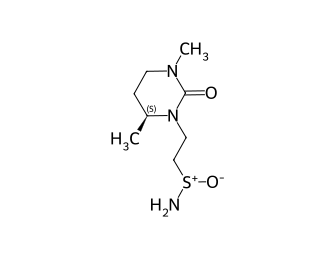 C[C@H]1CCN(C)C(=O)N1CC[S+](N)[O-]